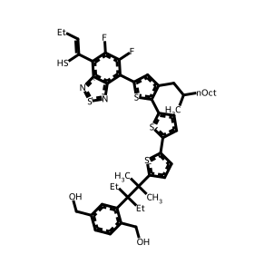 CC/C=C(\S)c1c(F)c(F)c(-c2cc(CC(C)CCCCCCCC)c(-c3ccc(-c4ccc(C(C)(C)C(CC)(CC)c5cc(CO)ccc5CO)s4)s3)s2)c2nsnc12